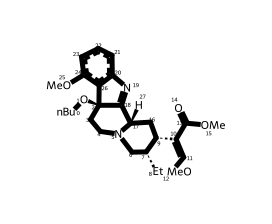 CCCCO[C@]12CCN3C[C@@H](CC)[C@@H](/C(=C\OC)C(=O)OC)C[C@H]3C1=Nc1cccc(OC)c12